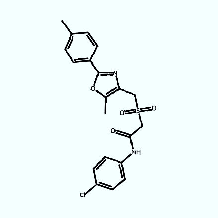 Cc1ccc(-c2nc(CS(=O)(=O)CC(=O)Nc3ccc(Cl)cc3)c(C)o2)cc1